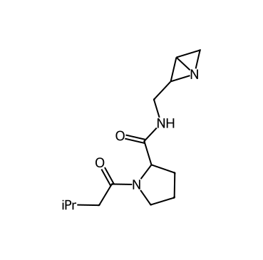 CC(C)CC(=O)N1CCCC1C(=O)NCC1C2CN12